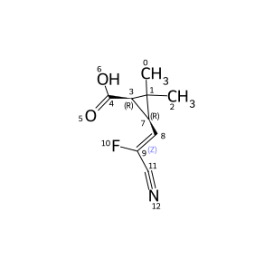 CC1(C)[C@H](C(=O)O)[C@@H]1/C=C(\F)C#N